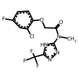 CN(C(=O)COc1ccc(F)cc1Cl)c1nnc(C(F)(F)F)[nH]1